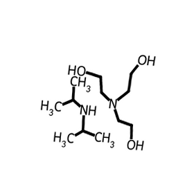 CC(C)NC(C)C.OCCN(CCO)CCO